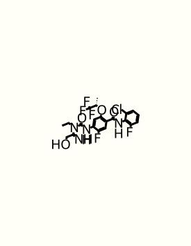 CCN(C(=N)CO)C(=O)Nc1cc(O[C@@H](C)C(F)(F)F)c(C(=O)Nc2c(F)cccc2Cl)cc1F